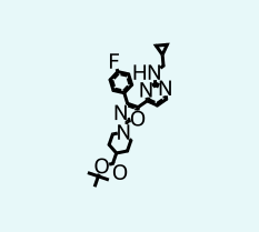 CC(C)(C)OC(=O)C1CCN(c2nc(-c3ccc(F)cc3)c(-c3ccnc(NCC4CC4)n3)o2)CC1